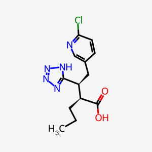 CCC[C@H](C(=O)O)[C@H](Cc1ccc(Cl)nc1)c1nnn[nH]1